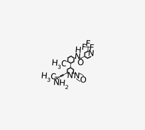 Cc1ccc(NC(=O)c2ccnc(C(F)(F)F)c2)cc1-c1cc(C#C[C@H](C)N)nc(N2CCOCC2)c1